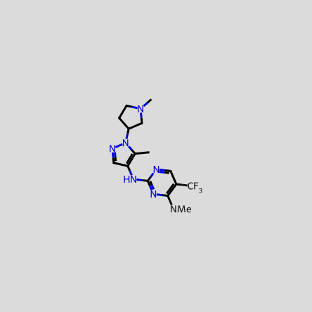 CNc1nc(Nc2cnn(C3CCN(C)C3)c2C)ncc1C(F)(F)F